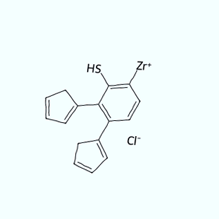 Sc1[c]([Zr+])ccc(C2=CC=CC2)c1C1=CC=CC1.[Cl-]